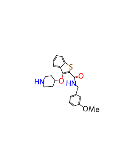 COc1cccc(CNC(=O)c2sc3ccccc3c2OC2CCNCC2)c1